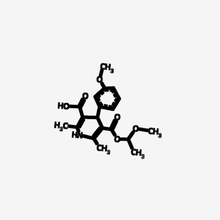 COc1cccc(C2C(C(=O)O)=C(C)NC(C)=C2C(=O)OC(C)OC)c1